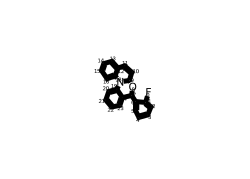 Fc1ccccc1C1OC2C=Cc3ccccc3N2c2ccccc21